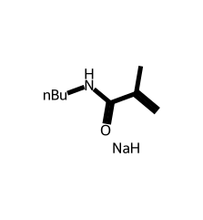 C=C(C)C(=O)NCCCC.[NaH]